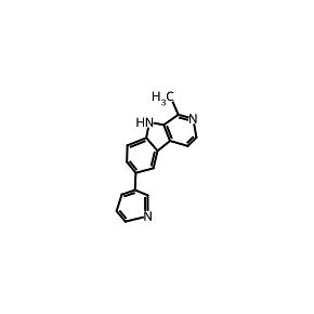 Cc1nccc2c1[nH]c1ccc(-c3cccnc3)cc12